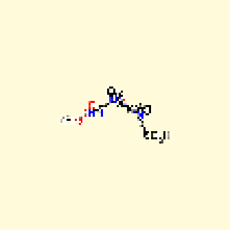 CCCOCCONC(=O)CCCCC[N+]1=C(C(C)(C)/C=C/C(C)(C)/C=C2/N(CCCCCC(=O)O)c3ccccc3C2(C)C)C(C)(C)c2ccccc21